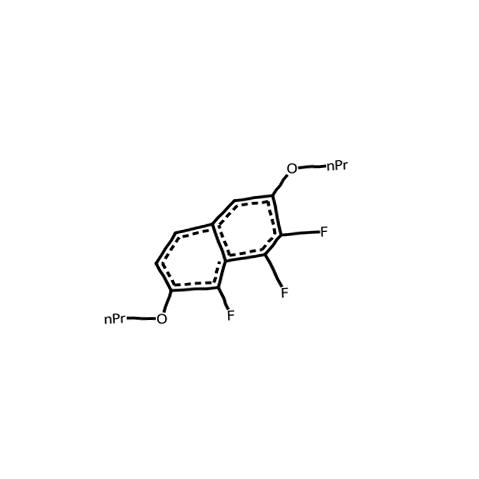 CCCOc1cc2ccc(OCCC)c(F)c2c(F)c1F